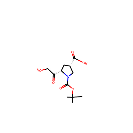 CC(C)(C)OC(=O)N1C[C@@H](C(=O)O)C[C@H]1C(=O)CO